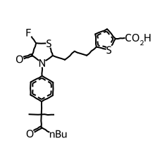 CCCCC(=O)C(C)(C)c1ccc(N2C(=O)C(F)SC2CCCc2ccc(C(=O)O)s2)cc1